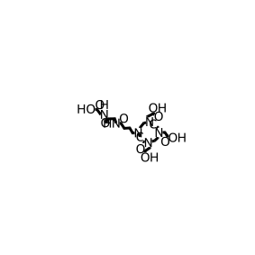 O=C(O)CNC(=O)CNC(=O)CCCN1CCN(CC(=O)O)CCN(CC(=O)O)CCN(CC(=O)O)CC1